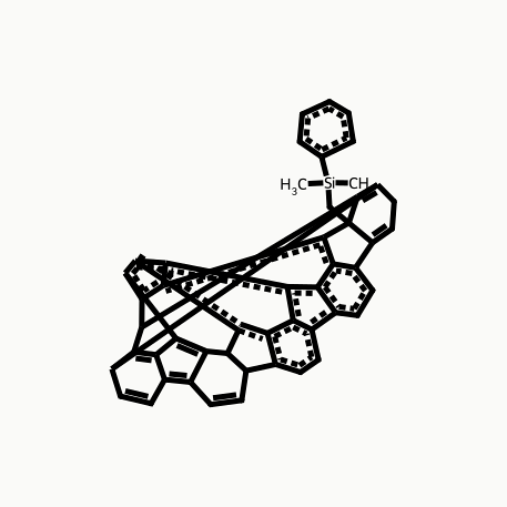 C[Si](C)(CC12C3=CCC4=C1C1C5=C6C(=C7C=CC8c9ccc%10c%11ccc3c3c2c2c1c1c%12c(c9c%10c(c%122)c3%11)C8C7=C61)C=CC45)c1ccccc1